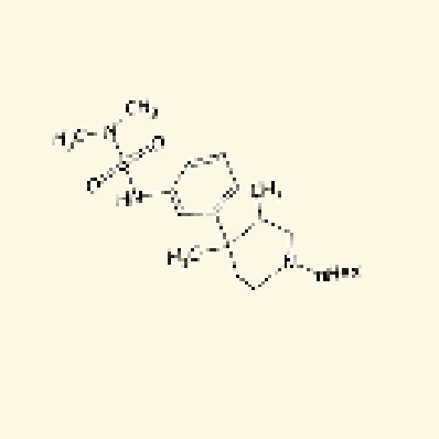 CCCCCCN1CCC(C)(c2cccc(NS(=O)(=O)N(C)C)c2)C(C)C1